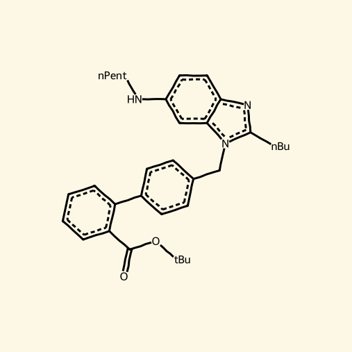 CCCCCNc1ccc2nc(CCCC)n(Cc3ccc(-c4ccccc4C(=O)OC(C)(C)C)cc3)c2c1